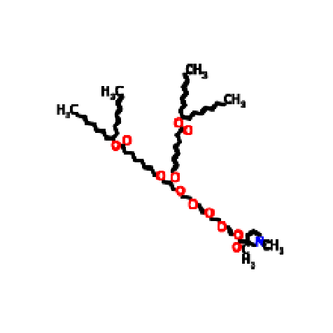 CCCCCCCCC(CCCCCCCC)OC(=O)CCCCCCCOCC(COCCOCCOCCOCCOC(=O)C1(C)CCCN(C)C1)OCCCCCCCC(=O)OC(CCCCCCCC)CCCCCCCC